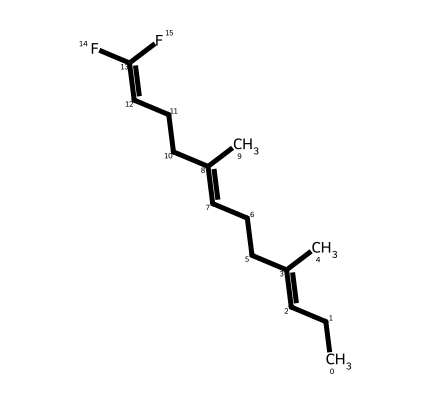 CC/C=C(\C)CC/C=C(\C)CCC=C(F)F